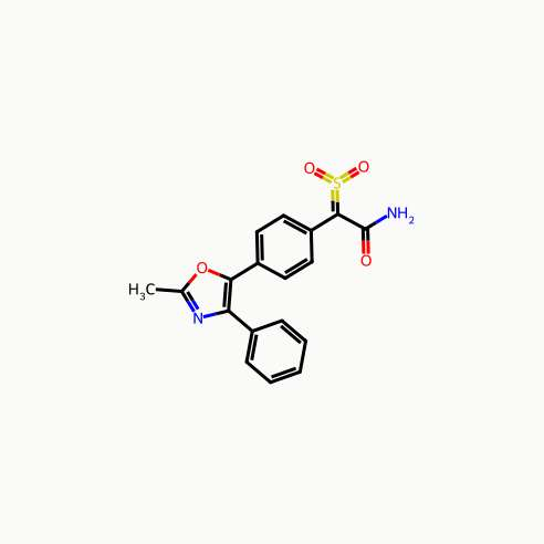 Cc1nc(-c2ccccc2)c(-c2ccc(C(C(N)=O)=S(=O)=O)cc2)o1